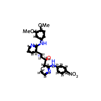 COc1ccc(Nc2ncccc2/C=C/C(=O)c2cccnc2Nc2ccc([N+](=O)[O-])cc2)cc1OC